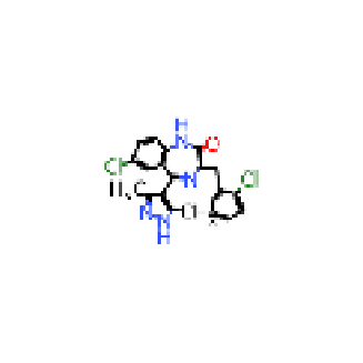 Cc1n[nH]c(C)c1C1=NC(Cc2ccccc2Cl)C(=O)Nc2ccc(Cl)cc21